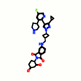 O=C1CCC(N2C(=O)c3ccc(NC[C@H]4C[C@H](n5cc(-c6ncc(F)cc6C6CCNCC6)c(C6CC6)n5)C4)cc3C2=O)C(=O)C1